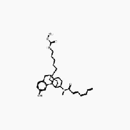 C=C/C=C\C=C\C(=O)N(C)C1CCC23CCC1C21CCN(CCCCCNC(=O)OC(C)(C)C)C3Cc2ccc(O)cc21